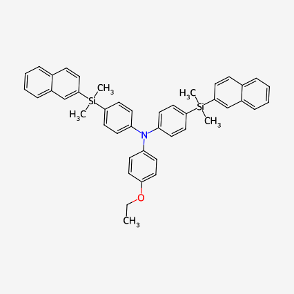 CCOc1ccc(N(c2ccc([Si](C)(C)c3ccc4ccccc4c3)cc2)c2ccc([Si](C)(C)c3ccc4ccccc4c3)cc2)cc1